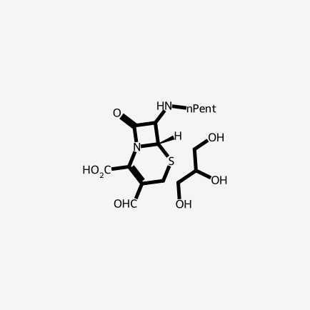 CCCCCNC1C(=O)N2C(C(=O)O)=C(C=O)CS[C@@H]12.OCC(O)CO